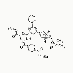 CCCCOC(=O)N1CCN(C(=O)[C@H](CCC(=O)OC(C)(C)C)NC(=O)c2cc(N3C[C@@H]4[C@@H](CO[Si](C)(C)C(C)(C)C)[C@@H]4C3)nc(-c3ccccc3)n2)CC1